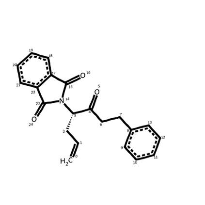 C=CC[C@@H](C(=O)CCc1ccccc1)N1C(=O)c2ccccc2C1=O